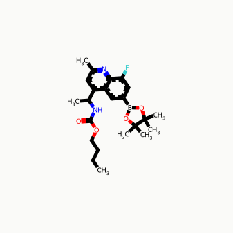 CCCCOC(=O)NC(C)c1cc(C)nc2c(F)cc(B3OC(C)(C)C(C)(C)O3)cc12